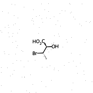 C[C@H](Br)[C@H](O)C(=O)O